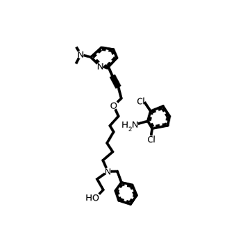 CN(C)c1cccc(C#CCOCCCCCCN(CCO)Cc2ccccc2)n1.Nc1c(Cl)cccc1Cl